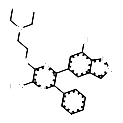 CCN(CC)CCSc1nc(-c2cc(Cl)c3[nH]ncc3c2)c(-c2ccccc2)nc1N